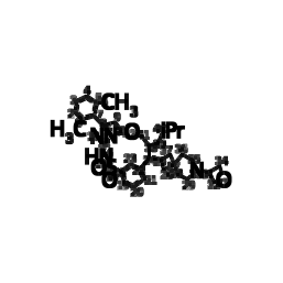 Cc1cccc(C)c1-c1cc2nc(n1)NS(=O)(=O)c1cccc(c1)C(C1CC3(CCN(C4COC4)CC3)C1)[C@H](CC(C)C)CO2